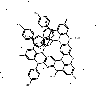 CSN1c2cc3c(cc2B2c4cc5c(cc4Oc4cc(C)cc1c42)N(SC)c1cc(C)cc2c1B5c1sc4ccc(C(C)(C)C)cc4c1N2c1ccc(C(C)(C)C)cc1)B1c2sc4ccc(C(C)(C)C)cc4c2N(c2ccc(C(C)(C)C)cc2)c2cc(C)cc(c21)N3c1ccc(C(C)(C)C)cc1